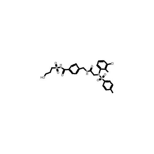 Cc1ccc(S(=O)(=O)N(CC(=O)NCc2ccc(C(=O)NS(=O)(=O)CCCO)cc2)c2cccc(Cl)c2C)cc1